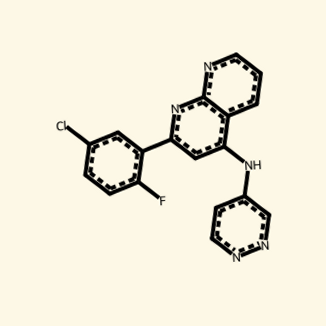 Fc1ccc(Cl)cc1-c1cc(Nc2ccnnc2)c2cccnc2n1